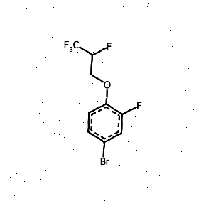 Fc1cc(Br)ccc1OCC(F)C(F)(F)F